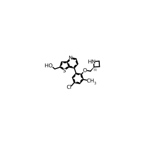 Cc1cc(Cl)cc(-c2ccnc3cc(CO)sc23)c1OC[C@@H]1CCN1